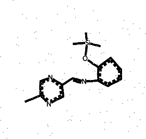 Cc1cnc(/C=N/c2ccccc2O[Si](C)(C)C)cn1